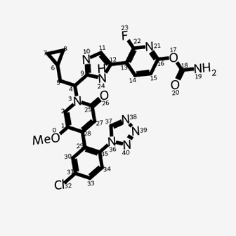 COc1cn(C(CC2CC2)c2ncc(-c3ccc(OC(N)=O)nc3F)[nH]2)c(=O)cc1-c1cc(Cl)ccc1-n1cnnn1